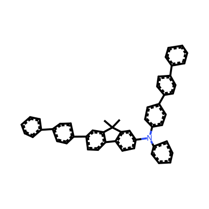 CC1(C)c2cc(-c3ccc(-c4ccccc4)cc3)ccc2-c2ccc(N(c3ccccc3)c3ccc(-c4ccc(-c5ccccc5)cc4)cc3)cc21